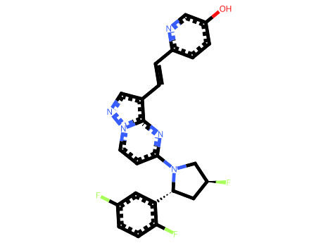 Oc1ccc(/C=C/c2cnn3ccc(N4C[C@@H](F)C[C@@H]4c4cc(F)ccc4F)nc23)nc1